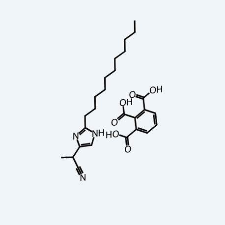 CCCCCCCCCCCc1nc(C(C)C#N)c[nH]1.O=C(O)c1cccc(C(=O)O)c1C(=O)O